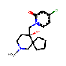 O=C(O)N1CC[C@](O)(Cn2ccc(Cl)cc2=O)C2(CCCC2)C1